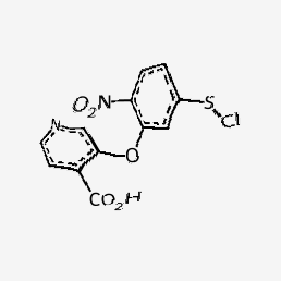 O=C(O)c1ccncc1Oc1cc(SCl)ccc1[N+](=O)[O-]